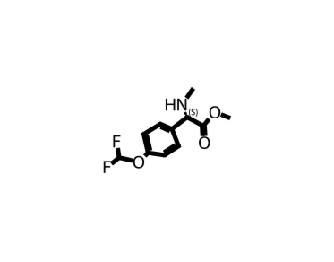 CN[C@H](C(=O)OC)c1ccc(OC(F)F)cc1